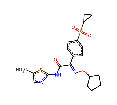 O=C(Nc1ncc(C(=O)O)s1)/C(=N/OC1CCCC1)c1ccc(S(=O)(=O)C2CC2)cc1